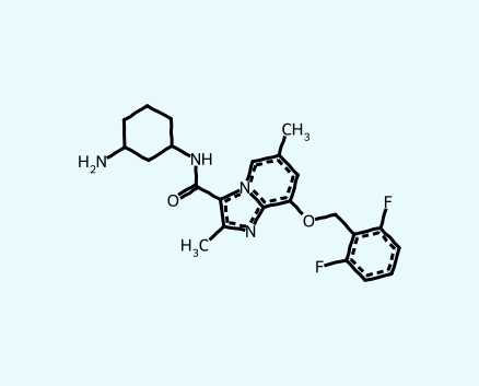 Cc1cc(OCc2c(F)cccc2F)c2nc(C)c(C(=O)NC3CCCC(N)C3)n2c1